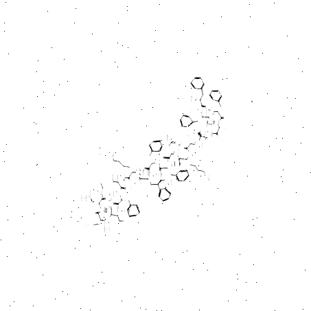 CCNC(=O)[C@H](CS)NC(=O)[C@H](CO)NC(=O)[C@@H](NC(=O)[C@H](Cc1ccccc1)NC(=O)[C@@H](NC(=O)[C@H](CCCCN)NC(=O)[C@H](Cc1c[nH]c2ccccc12)NC(=O)[C@H](Cc1ccccc1)NC(=O)[C@H](Cc1ccccc1)NC(=O)[C@H](CC(N)=O)NC(=O)[C@H](CCCCN)NC(=O)[C@H](CS)NC(=O)CNC(=O)[C@H](C)NC(=O)[C@H](Cc1ccccc1)NC(=O)[C@H](Cc1ccccc1)NC(=O)[C@@H](N)Cc1ccccc1)[C@@H](C)O)[C@@H](C)O